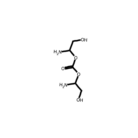 NC(CO)OC(=O)OC(N)CO